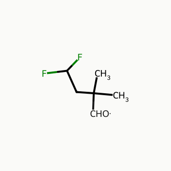 CC(C)([C]=O)CC(F)F